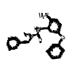 Nc1ccc(Oc2ccccc2)cc1NC(=O)NCc1ccccc1